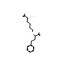 N[C@@H](CCCCNC(CCc1ccccc1)C(=O)O)C(=O)O